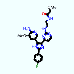 COCC(=O)NCCNc1nccc(-c2nc(-c3ccc(F)cc3)[nH]c2-c2cnc(N)c(OC)c2)n1